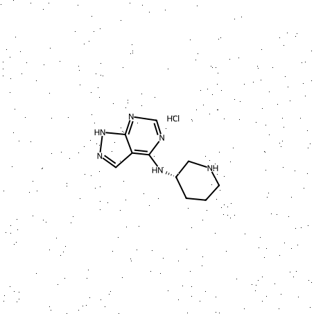 Cl.c1nc(N[C@H]2CCCNC2)c2cn[nH]c2n1